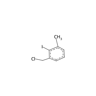 Cc1cccc(CCl)c1I